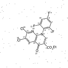 CCOC(=O)c1cn(-c2c(F)cc(F)cc2F)c2nc(Cl)c(Cl)cc2c1=O